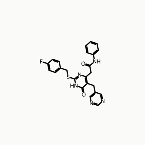 O=C(Cc1nc(SCc2ccc(F)cc2)[nH]c(=O)c1Cc1cncnc1)Nc1ccccc1